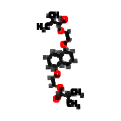 C=C(C)C(=O)O/C=C\Oc1cccc2c(O/C=C\OC(=O)C(=C)C)cccc12